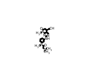 C#Cc1cc(=O)n(C)c2nc(Nc3cccc(N(C)C(=O)CN(C)C)c3)ncc12